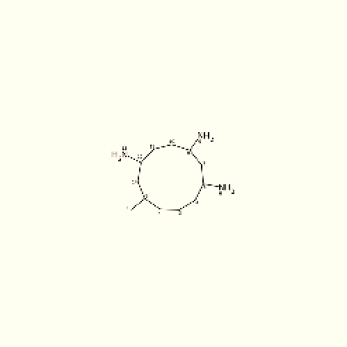 CC1CCCC(N)CC(N)CCC(N)C1